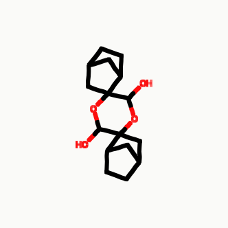 OC1OC2(CC3CCC2C3)C(O)OC12CC1CCC2C1